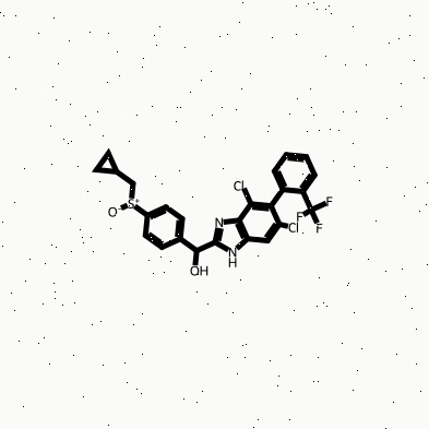 [O-][S+](CC1CC1)c1ccc(C(O)c2nc3c(Cl)c(-c4ccccc4C(F)(F)F)c(Cl)cc3[nH]2)cc1